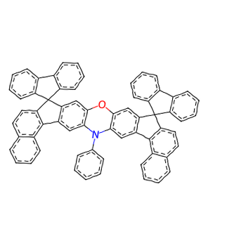 c1ccc(N2c3cc4c(cc3Oc3cc5c(cc32)-c2c(ccc3ccccc23)C52c3ccccc3-c3ccccc32)C2(c3ccccc3-c3ccccc32)c2ccc3ccccc3c2-4)cc1